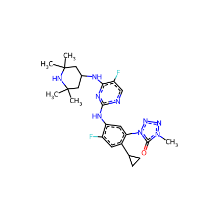 Cn1nnn(-c2cc(Nc3ncc(F)c(NC4CC(C)(C)NC(C)(C)C4)n3)c(F)cc2C2CC2)c1=O